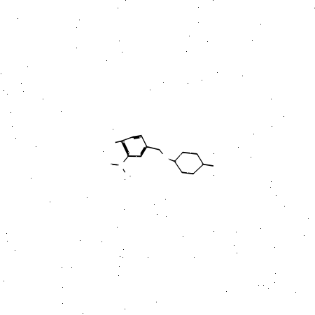 CC1CCC(OCc2ccc(F)c(B(O)O)c2)CC1